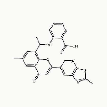 Cc1cc(C(C)Nc2ccccc2C(=O)O)c2oc(-c3cnc4sc(C)nc4c3)cc(=O)c2c1